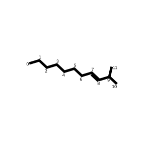 CCCCCCC/C=C/C(C)C